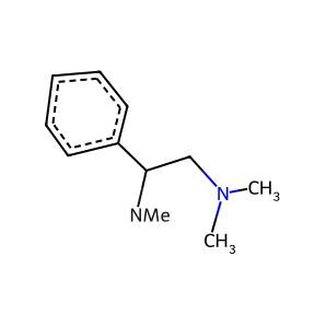 CNC(CN(C)C)c1ccccc1